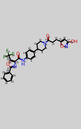 O=C(Nc1ccc(C2CCN(C(=O)CCc3cc(O)no3)CC2)cc1)c1nc(-c2ccccc2)oc1C(F)(F)F